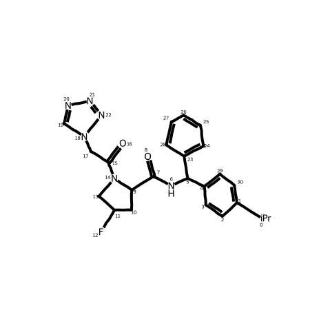 CC(C)c1ccc(C(NC(=O)C2CC(F)CN2C(=O)Cn2cnnn2)c2ccccc2)cc1